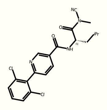 CC(C)C[C@H](NC(=O)c1ccc(-c2c(Cl)cccc2Cl)nc1)C(=O)N(C)C#N